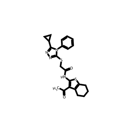 CC(=O)c1c(NC(=O)CSc2nnc(C3CC3)n2-c2ccccc2)sc2c1CCCC2